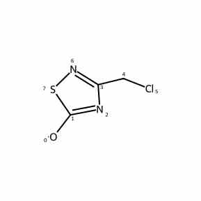 [O]c1nc(CCl)ns1